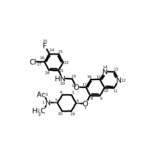 CC(=O)N(C)[C@H]1CC[C@@H](Oc2cc3cncnc3cc2OCNc2ccc(F)c(Cl)c2)CC1